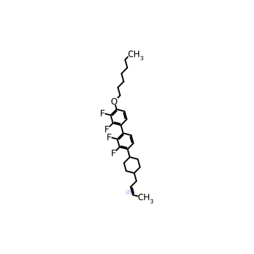 C/C=C\CC1CCC(c2ccc(-c3ccc(OCCCCCCC)c(F)c3F)c(F)c2F)CC1